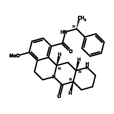 COc1ccc(C(=O)N[C@H](C)c2ccccc2)c2c1CCN1C(=O)[C@H]3CCCN[C@H]3C[C@@H]21